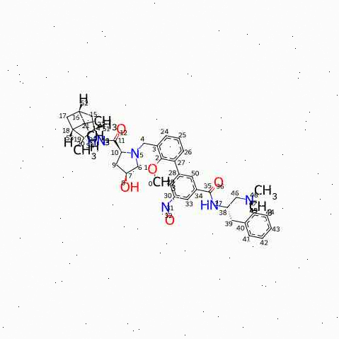 COc1c(CN2C[C@@H](O)C[C@H]2C(=O)N[C@H]2C[C@H]3C[C@@H]([C@@H]2C)C3(C)C)cccc1-c1cc(N=O)cc(C(=O)N[C@@H](Cc2ccccc2)CN(C)C)c1